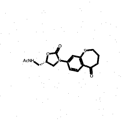 CC(=O)NC[C@H]1CN(c2ccc3c(c2)SCCCC3=O)C(=O)O1